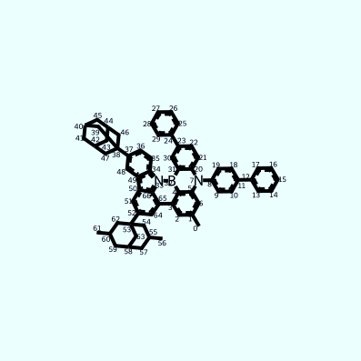 Cc1cc2c3c(c1)N(c1ccc(-c4ccccc4)cc1)c1ccc(-c4ccccc4)cc1B3n1c3ccc(C45CC6CC(CC(C6)C4)C5)cc3c3cc(C45CC(C)CC(CC(C)C4)C5)cc-2c31